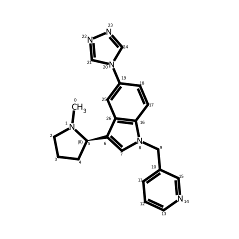 CN1CCC[C@@H]1c1cn(Cc2cccnc2)c2ccc(-n3cnnc3)cc12